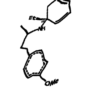 CC[C@]1(NC(C)Cc2ccc(OC)cc2)C=CC=CC1